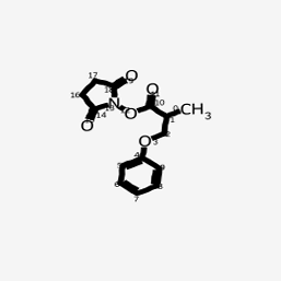 CC(COc1ccccc1)C(=O)ON1C(=O)CCC1=O